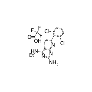 CCNc1nc(N)nc2nc(-c3c(Cl)cccc3Cl)ccc12.O=C(O)C(F)(F)F